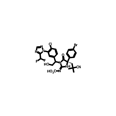 CC(C)(C#N)C[C@]1(c2ccc(Br)cc2)NC(=NC(=O)O)N(C(CO)c2ccc(Cl)c(-n3ncnc3C(F)F)c2)C1=O